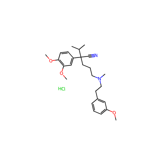 COc1cccc(CCN(C)CCCC(C#N)(c2ccc(OC)c(OC)c2)C(C)C)c1.Cl